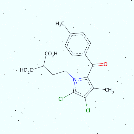 Cc1ccc(C(=O)c2c(C)c(Cl)c(Cl)n2CCC(C(=O)O)C(=O)O)cc1